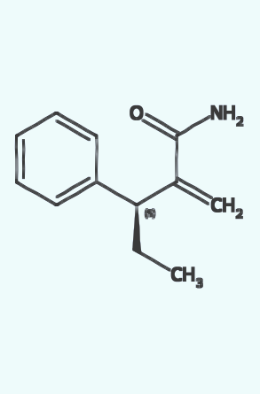 C=C(C(N)=O)[C@@H](CC)c1ccccc1